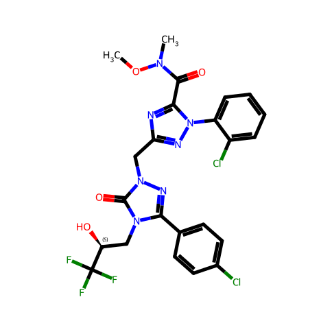 CON(C)C(=O)c1nc(Cn2nc(-c3ccc(Cl)cc3)n(C[C@H](O)C(F)(F)F)c2=O)nn1-c1ccccc1Cl